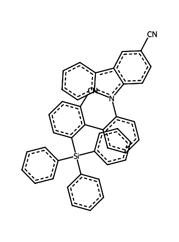 N#Cc1ccc2c(c1)c1ccccc1n2-c1ccccc1-c1c(C#N)cccc1[Si](c1ccccc1)(c1ccccc1)c1ccccc1